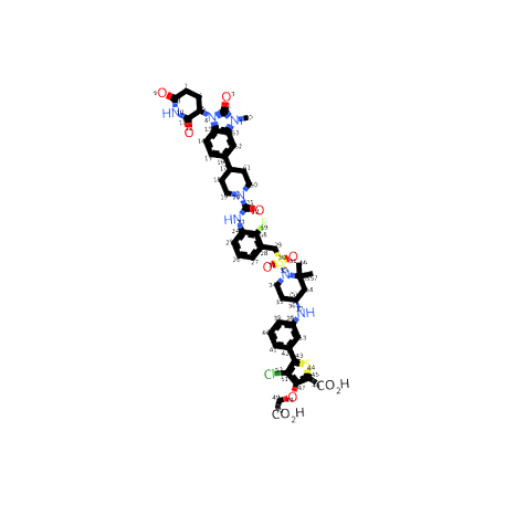 Cn1c(=O)n(C2CCC(=O)NC2=O)c2ccc(C3CCN(C(=O)Nc4cccc(CS(=O)(=O)N5CC[C@H](Nc6cccc(-c7sc(C(=O)O)c(OCC(=O)O)c7Cl)c6)CC5(C)C)c4F)CC3)cc21